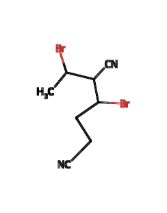 CC(Br)C(C#N)C(Br)CCC#N